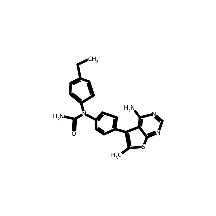 CCc1ccc(N(C(N)=O)c2ccc(-c3c(C)sc4ncnc(N)c34)cc2)cc1